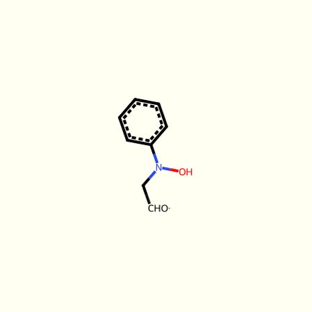 O=[C]CN(O)c1ccccc1